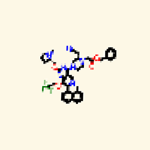 Cc1cccc2cccc(-c3ncc4c(N5CCN(CC(=O)OCc6ccccc6)[C@@H](CC#N)C5)nc(OC[C@@H]5CCCN5C)nc4c3OCC(F)(F)F)c12